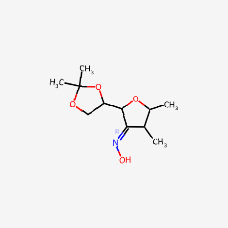 CC1OC(C2COC(C)(C)O2)/C(=N/O)C1C